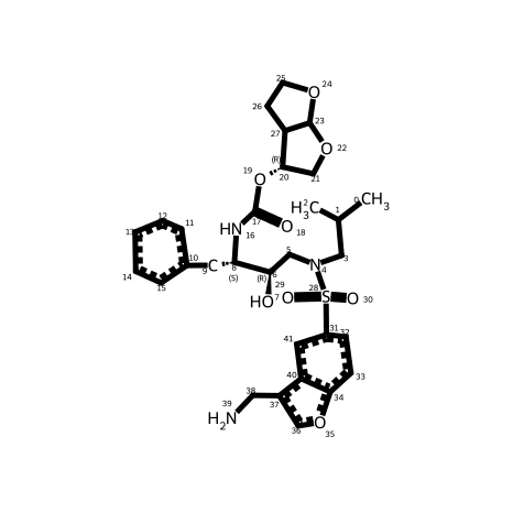 CC(C)CN(C[C@@H](O)[C@H](Cc1ccccc1)NC(=O)O[C@H]1COC2OCCC21)S(=O)(=O)c1ccc2occ(CN)c2c1